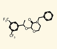 C[C@@H](O[C@@H]1OCCN(Cc2ccccc2)C1=O)c1cc(C(F)(F)F)cc(C(F)(F)F)c1